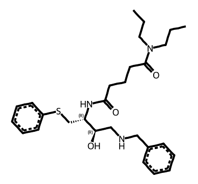 CCCN(CCC)C(=O)CCCC(=O)N[C@@H](CSc1ccccc1)[C@H](O)CNCc1ccccc1